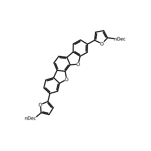 CCCCCCCCCCc1ccc(-c2ccc3c(c2)oc2c3ccc3c4ccc(-c5ccc(CCCCCCCCCC)o5)cc4oc32)o1